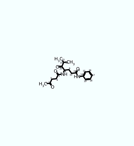 CC(=O)CCC(=O)NC(CCC(=O)Nc1ccccc1)C(=O)C(C)C